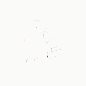 CCC1CC2C3CC(CC(=O)OC45CC6CC(CC(COC(=O)C(F)(F)SOOO)(C6)C4)C5)C(C3)C2C1